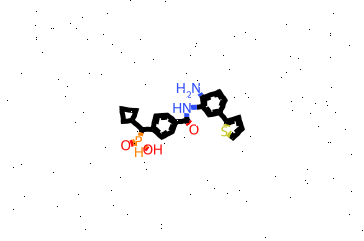 Nc1ccc(-c2cccs2)cc1NC(=O)c1ccc(C(C2CCC2)[PH](=O)O)cc1